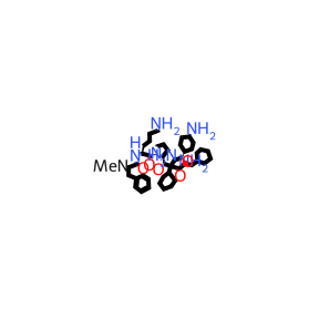 CN[C@@H](Cc1ccccc1)C(=O)N[C@@H](CCCCN)C(=O)N1CCC[C@H]1C(=O)C(C(=O)[C@H](N)CC1CCCCC1)(C1CCCCC1)[C@H](N)C(=O)[C@H]1CC[C@H](N)CC1